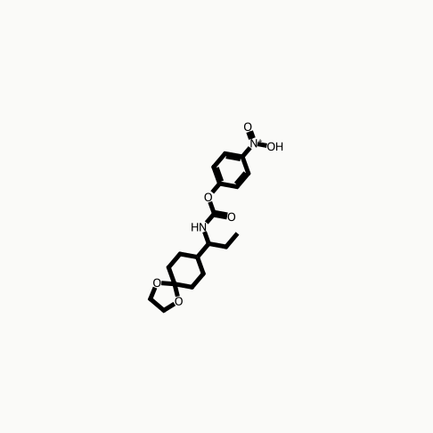 CCC(NC(=O)Oc1ccc([N+](=O)O)cc1)C1CCC2(CC1)OCCO2